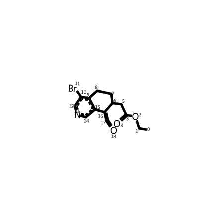 CCOC(=O)CC1CCc2c(Br)cncc2C1=C=O